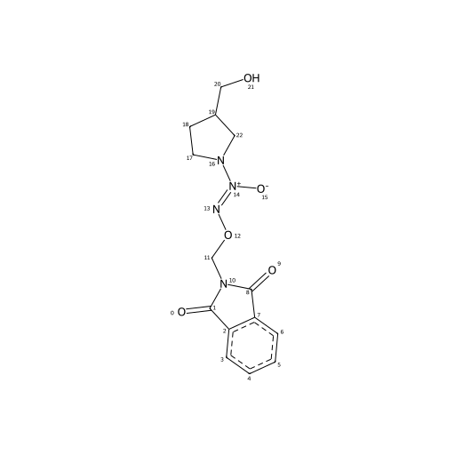 O=C1c2ccccc2C(=O)N1CON=[N+]([O-])N1CCC(CO)C1